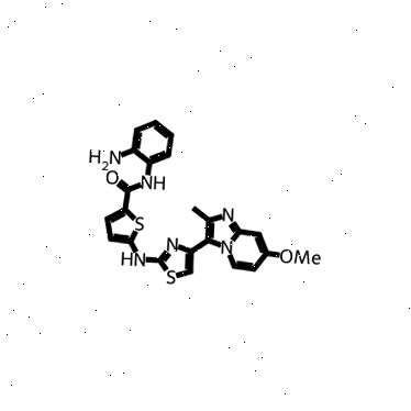 COc1ccn2c(-c3csc(Nc4ccc(C(=O)Nc5ccccc5N)s4)n3)c(C)nc2c1